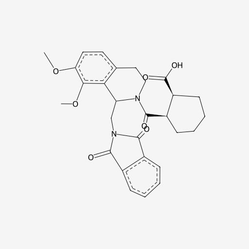 COc1ccc2c(c1OC)C(CN1C(=O)c3ccccc3C1=O)N(C(=O)[C@@H]1CCCC[C@@H]1C(=O)O)CC2